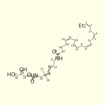 CC/C=C\C/C=C\C/C=C\C/C=C\C/C=C\CCCC(=O)NCCSSC(C)(C)CNC(=O)OCC(O)CO